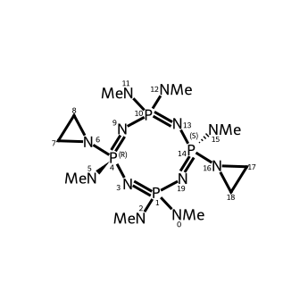 CNP1(NC)=N[P@](NC)(N2CC2)=NP(NC)(NC)=N[P@@](NC)(N2CC2)=N1